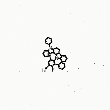 N#Cc1cc(C#N)c(-n2c3ccccc3c3ccc4c(c5ccccc5n4-c4ccccc4)c32)c(-c2ccccc2)c1F